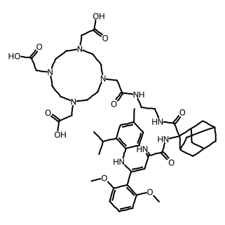 COc1cccc(OC)c1/C(=C/C(=N)C(=O)NC1(C(=O)NCCNC(=O)CN2CCN(CC(=O)O)CCN(CC(=O)O)CCN(CC(=O)O)CC2)C2CC3CC(C2)CC1C3)Nc1ccc(C)cc1C(C)C